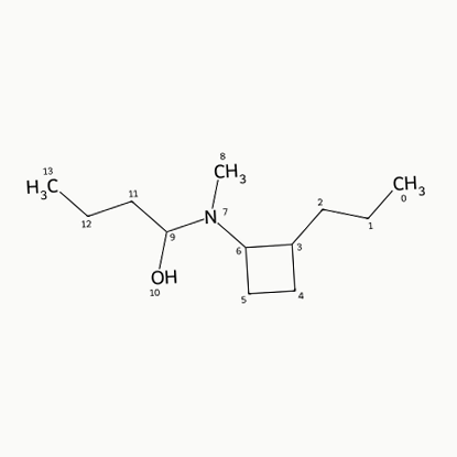 CCCC1CCC1N(C)C(O)CCC